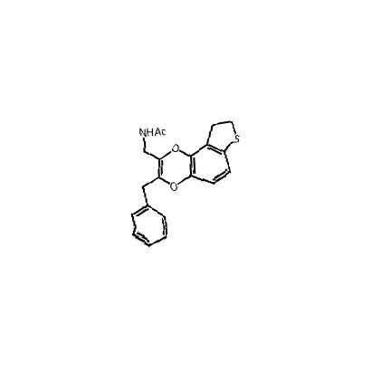 CC(=O)NCC1=C(Cc2ccccc2)Oc2ccc3c(c2O1)CCS3